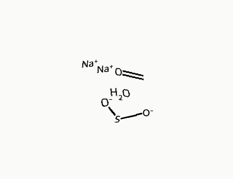 C=O.O.[Na+].[Na+].[O-]S[O-]